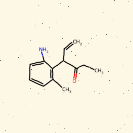 C=CC(C(=O)CC)c1c(C)cccc1N